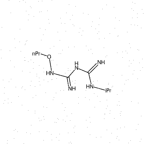 CCCONC(=N)NC(=N)NC(C)C